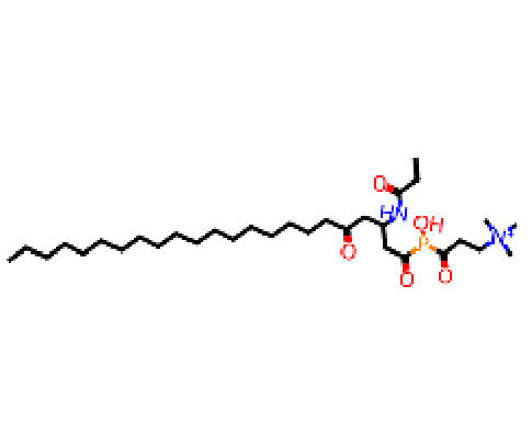 CCCCCCCCCCCCCCCCCCC(=O)CC(CC(=O)P(O)C(=O)CC[N+](C)(C)C)NC(=O)CC